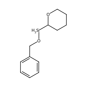 c1ccc(CO[SiH2]C2CCCCO2)cc1